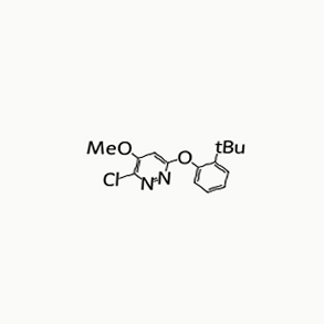 COc1cc(Oc2ccccc2C(C)(C)C)nnc1Cl